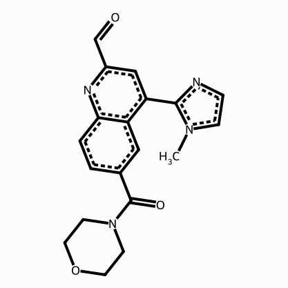 Cn1ccnc1-c1cc(C=O)nc2ccc(C(=O)N3CCOCC3)cc12